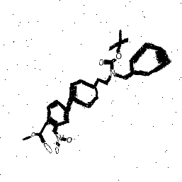 COC(=O)c1ccc(-c2ccc(CCN(Cc3ccccc3)C(=O)OC(C)(C)C)cc2)cc1[N+](=O)[O-]